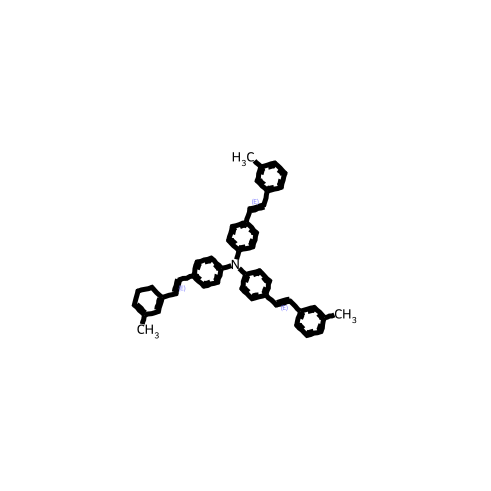 CC1=CCCC(/C=C/c2ccc(N(c3ccc(/C=C/c4cccc(C)c4)cc3)c3ccc(/C=C/c4cccc(C)c4)cc3)cc2)=C1